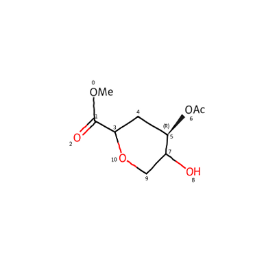 COC(=O)C1C[C@@H](OC(C)=O)C(O)CO1